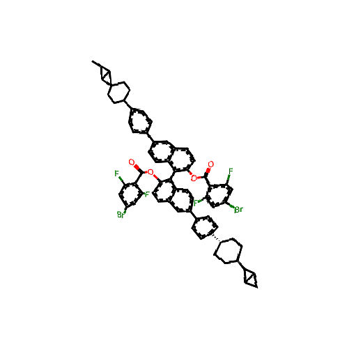 CC1C2C1C21CCC(c2ccc(-c3ccc4c(-c5c(OC(=O)c6c(F)cc(Br)cc6F)ccc6cc(-c7ccc([C@H]8CC[C@H](C9C%10CC%109)CC8)cc7)ccc56)c(OC(=O)c5c(F)cc(Br)cc5F)ccc4c3)cc2)CC1